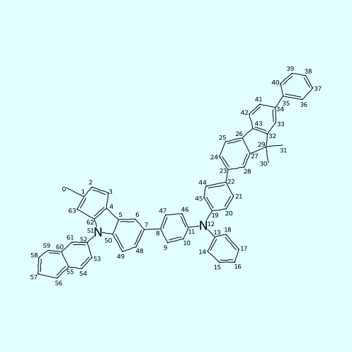 Cc1ccc2c3cc(-c4ccc(N(c5ccccc5)c5ccc(-c6ccc7c(c6)C(C)(C)c6cc(-c8ccccc8)ccc6-7)cc5)cc4)ccc3n(-c3ccc4ccccc4c3)c2c1